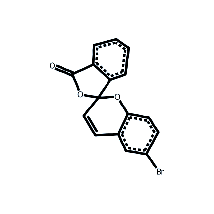 O=C1OC2(C=Cc3cc(Br)ccc3O2)c2ccccc21